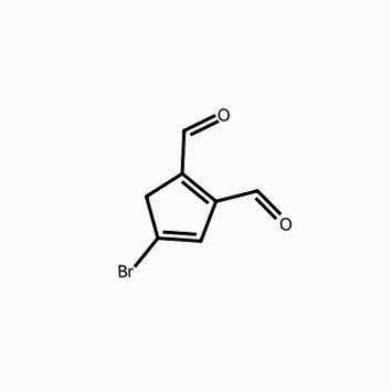 O=CC1=C(C=O)CC(Br)=C1